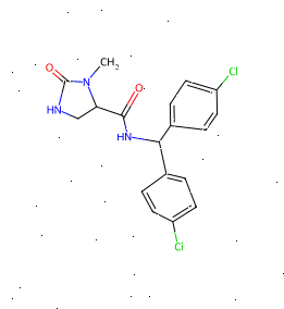 CN1C(=O)NCC1C(=O)NC(c1ccc(Cl)cc1)c1ccc(Cl)cc1